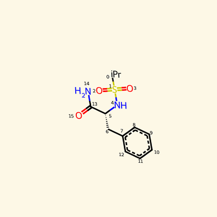 CC(C)S(=O)(=O)N[C@H](Cc1ccccc1)C(N)=O